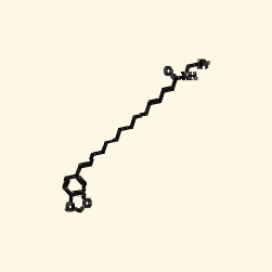 CC(C)CNC(=O)C=CC=CCCCCCCCCC=Cc1ccc2c(c1)OCO2